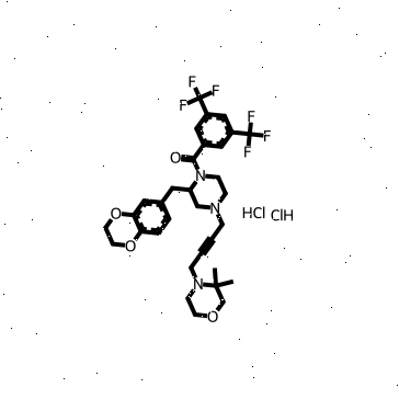 CC1(C)COCCN1CC#CCN1CCN(C(=O)c2cc(C(F)(F)F)cc(C(F)(F)F)c2)C(Cc2ccc3c(c2)OCCO3)C1.Cl.Cl